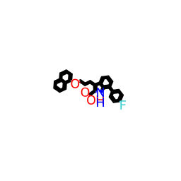 O=C(O)c1[nH]c2c(-c3ccc(F)cc3)cccc2c1CCCOc1cccc2ccccc12